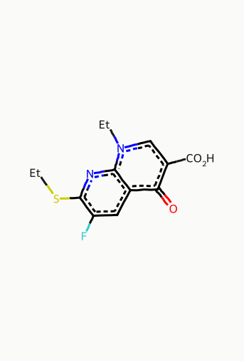 CCSc1nc2c(cc1F)c(=O)c(C(=O)O)cn2CC